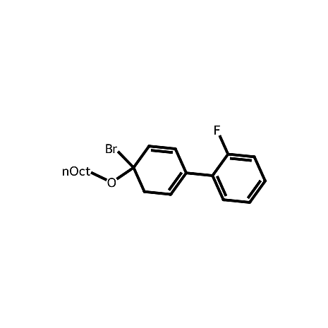 CCCCCCCCOC1(Br)C=CC(c2ccccc2F)=CC1